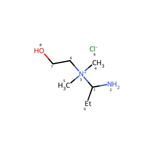 CCC(N)[N+](C)(C)CCO.[Cl-]